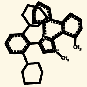 Cc1cccc2c3ccccc3n3c(-c4c(C5CCCCC5)cccc4C4CCCCC4)c[n+](C)c3c12